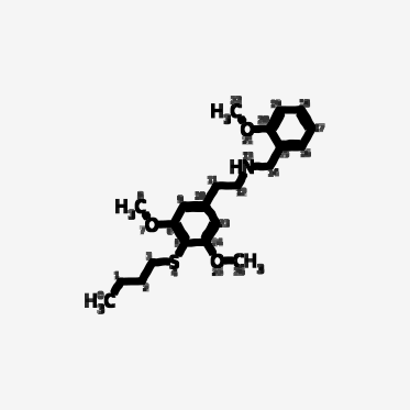 CCCCSc1c(OC)cc(CCNCc2ccccc2OC)cc1OC